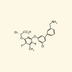 CC[C@@H](Oc1nc(Oc2cc(Cl)cc(-c3cccc(CN)c3)c2)c(F)c(C)c1F)C(=O)O